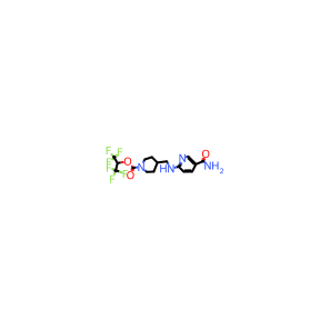 NC(=O)c1ccc(NCC2CCN(C(=O)OC(C(F)(F)F)C(F)(F)F)CC2)nc1